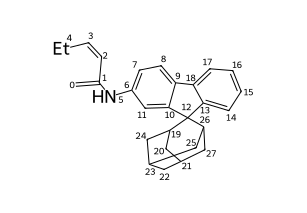 C=C(/C=C\CC)Nc1ccc2c(c1)C1(c3ccccc3-2)C2CC3CC(C2)CC1C3